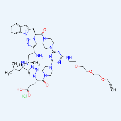 C#CCOCCOCCOCCNc1nc(N2CCN(C(=O)[C@H](CCC(=O)O)n3cc(C(N)CC(C)C)nn3)CC2)nc(N2CCN(C(=O)[C@H](Cc3cc4ccccc4[nH]3)n3cc(C(N)CC(C)C)nn3)CC2)n1.Cl